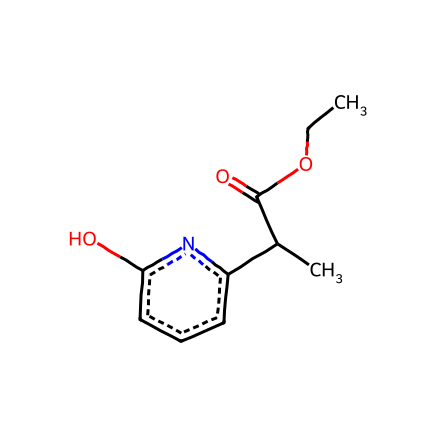 CCOC(=O)C(C)c1cccc(O)n1